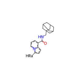 O=C(NCC12CC3CC(CC(C3)C1)C2)c1cccn2[c]([RaH])ccc12